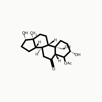 CC(=O)OC1[C@@H](O)CC[C@@]2(CO)[C@H]1C(=O)C[C@H]1[C@@H]3CC[C@H](O)[C@@]3(C)CC[C@@H]12